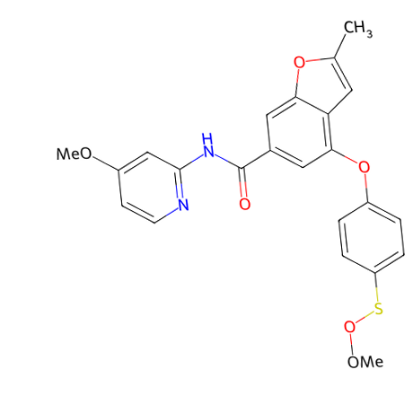 COOSc1ccc(Oc2cc(C(=O)Nc3cc(OC)ccn3)cc3oc(C)cc23)cc1